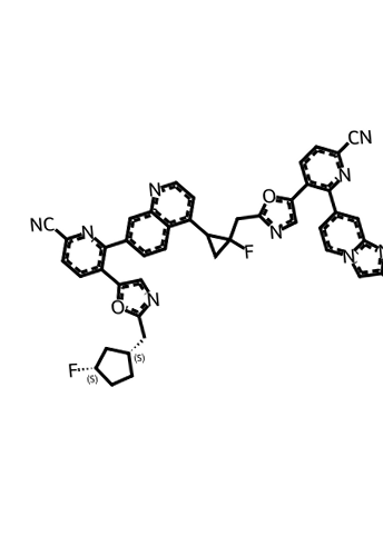 Cc1cn2ccc(-c3nc(C#N)ccc3-c3cnc(CC4(F)CC4c4ccnc5cc(-c6nc(C#N)ccc6-c6cnc(C[C@@H]7CC[C@H](F)C7)o6)ccc45)o3)cc2n1